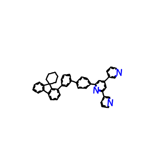 c1cncc(-c2cc(-c3ccc(-c4cccc(-c5cccc6c5C5(CCCCC5)c5ccccc5-6)c4)cc3)nc(-c3cccnc3)c2)c1